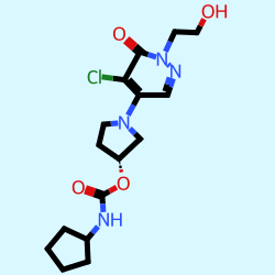 O=C(NC1CCCC1)O[C@@H]1CCN(c2cnn(CCO)c(=O)c2Cl)C1